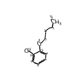 CCCCOc1ccccc1Cl